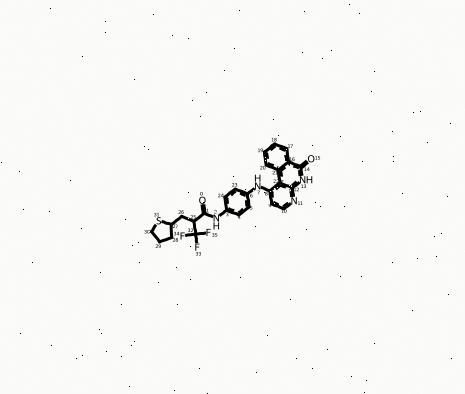 O=C(Nc1ccc(Nc2ccnc3[nH]c(=O)c4ccccc4c23)cc1)C(CC1CCCS1)C(F)(F)F